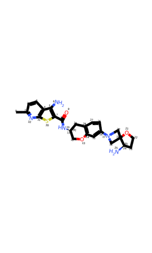 Cc1ccc2c(N)c(C(=O)N[C@H]3COc4cc(N5CC6(C5)OCC[C@H]6N)ccc4C3)sc2n1